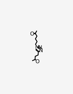 CC(=O)CCCCn1cc(CCC(C)=O)nn1